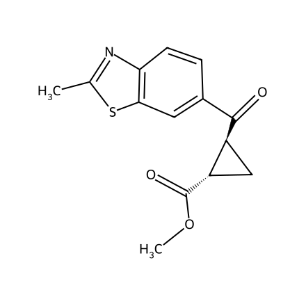 COC(=O)[C@H]1C[C@@H]1C(=O)c1ccc2nc(C)sc2c1